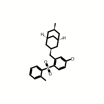 Cc1ccccc1S(=O)(=O)c1ccc(Cl)cc1C[C@H]1C[C@H]2C[C@@H](C)C[C@@H](C1)C2